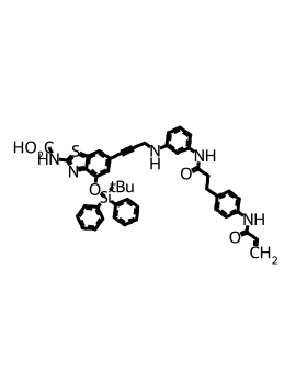 C=CC(=O)Nc1ccc(CCC(=O)Nc2cccc(NCC#Cc3cc(O[Si](c4ccccc4)(c4ccccc4)C(C)(C)C)c4nc(NC(=O)O)sc4c3)c2)cc1